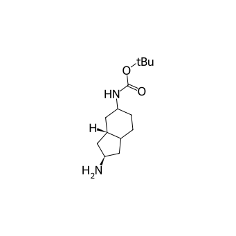 CC(C)(C)OC(=O)NC1CCC2C[C@@H](N)C[C@@H]2C1